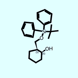 CC(C)(C)[Si](OC[C@@H]1CCCC[C@@H]1O)(c1ccccc1)c1ccccc1